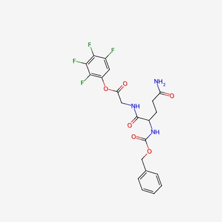 NC(=O)CCC(NC(=O)OCc1ccccc1)C(=O)NCC(=O)Oc1cc(F)c(F)c(F)c1F